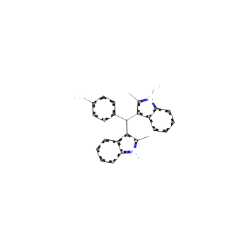 CCn1c(C)c(C(c2ccc(Br)cc2)c2c(C)n(CC)c3ccccc23)c2ccccc21